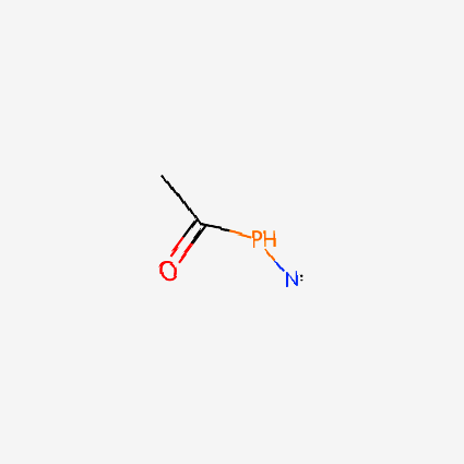 CC(=O)P[N]